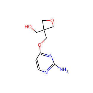 Nc1nccc(OCC2(CO)COC2)n1